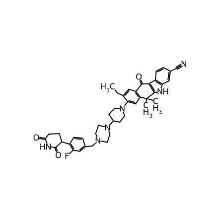 CCc1cc2c(cc1N1CCC(N3CCN(Cc4ccc(C5CCC(=O)NC5=O)c(F)c4)CC3)CC1)C(C)(C)c1[nH]c3cc(C#N)ccc3c1C2=O